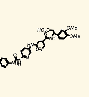 COc1ccc(C(CC(=O)O)NC(=O)C(CC(=O)Nc2ccc(NC(=O)Nc3ccccc3)nc2)CC(C)C)cc1OC